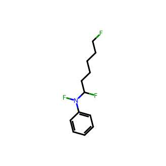 FCCCCCC(F)N(F)c1ccccc1